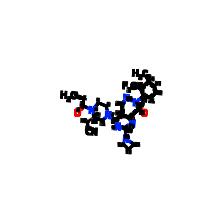 C=CC(=O)N1CCN(c2nc(N3CCC3)nc3c(=O)n(-c4cccc(C)c4C(F)(F)F)ncc23)C[C@@H]1CC#N